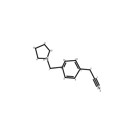 N#CCc1ccc(CN2CCCC2)cc1